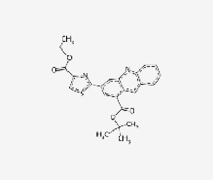 CCOC(=O)c1csc(-c2cc(C(=O)OC(C)(C)C)c3cc4ccccc4nc3c2)n1